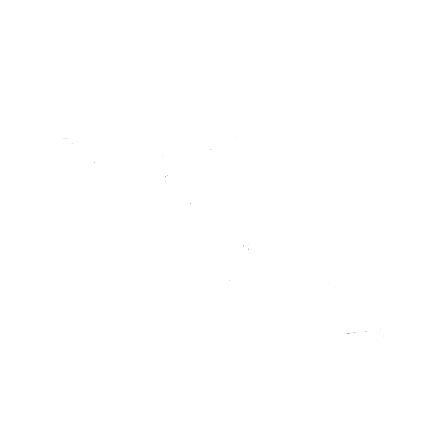 C=C/C=C(\C(COCCCC)S(=O)(=O)N(C)Cc1ccc(OC)cc1)C1(C(=O)OC)CC=CC=C1F